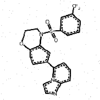 O=S(=O)(c1cccc(C(F)(F)F)c1)N1CCOc2ccc(-c3cccc4nccn34)cc21